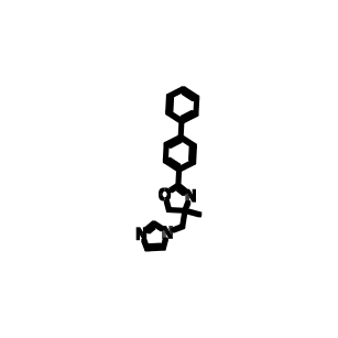 CC1(Cn2ccnc2)COC(c2ccc(-c3ccccc3)cc2)=N1